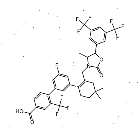 CC1C(c2cc(C(F)(F)F)cc(C(F)(F)F)c2)OC(=O)N1CC1=C(c2cc(F)cc(-c3ccc(C(=O)O)cc3C(F)(F)F)c2)CCC(C)(C)C1